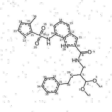 COC(OC)C(CNC(=O)c1cc2cccc(NS(=O)(=O)c3sccc3C)c2[nH]1)SCc1ccccc1